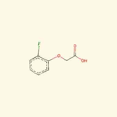 O=C(O)COc1ccccc1F